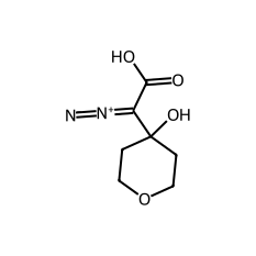 [N-]=[N+]=C(C(=O)O)C1(O)CCOCC1